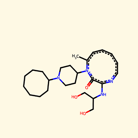 Cc1cccccnc(NC(CO)CO)c(=O)n1C1CCN(C2CCCCCCC2)CC1